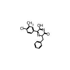 Cc1cc(C2=NC(Cc3ccccc3)C(=O)N=C2O)ccc1Cl